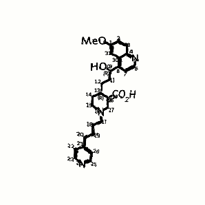 COc1ccc2nccc([C@H](O)CC[C@@H]3CCN(CCCCc4ccncc4)C[C@@H]3C(=O)O)c2c1